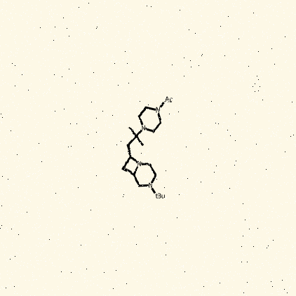 CC(=O)N1CCN(C(C)(C)CC2CC3CN(C(C)(C)C)CCN32)CC1